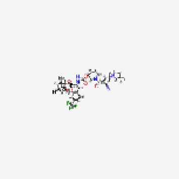 CC1(C)CCN(C(C)(C)/C=C(\C#N)C(=O)N2CCC[C@H](OC(=O)N[C@@H](Cc3ccc(C(F)(F)F)cc3)B3O[C@@H]4C[C@@H]5C[C@@H](C5(C)C)[C@]4(C)O3)C2)C1